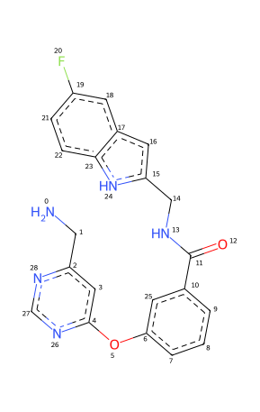 NCc1cc(Oc2cccc(C(=O)NCc3cc4cc(F)ccc4[nH]3)c2)ncn1